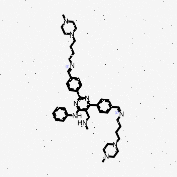 CNCc1c(Nc2ccccc2)nc(-c2ccc(/C=N/CCCCN3CCN(C)CC3)cc2)nc1-c1ccc(/C=N\CCCCN2CCN(C)CC2)cc1